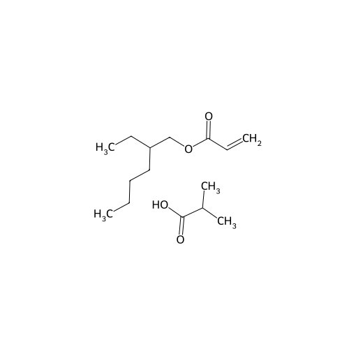 C=CC(=O)OCC(CC)CCCC.CC(C)C(=O)O